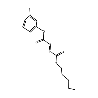 CCCCCOC(=O)N=NC(=O)Oc1cccc(C)c1